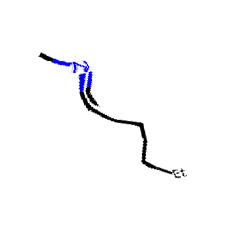 CCCCC=NC